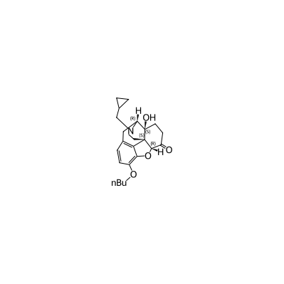 CCCCOc1ccc2c3c1O[C@H]1C(=O)CC[C@@]4(O)[C@@H](C2)N(CC2CC2)CC[C@]314